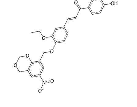 CCOc1cc(/C=C/C(=O)c2ccc(O)cc2)ccc1OCc1cc([N+](=O)[O-])cc2c1OCOC2